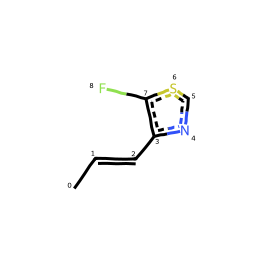 C/C=C/c1ncsc1F